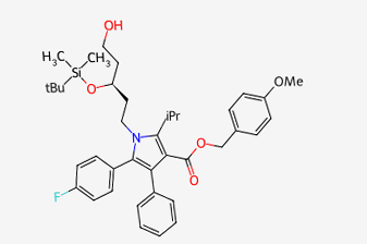 COc1ccc(COC(=O)c2c(-c3ccccc3)c(-c3ccc(F)cc3)n(CC[C@H](CCO)O[Si](C)(C)C(C)(C)C)c2C(C)C)cc1